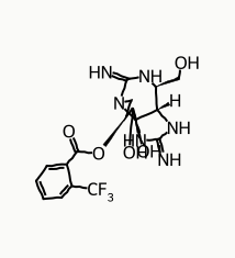 N=C1N[C@H]2[C@H](CO)NC(=N)N3C[C@H](OC(=O)c4ccccc4C(F)(F)F)C(O)(O)[C@]23N1